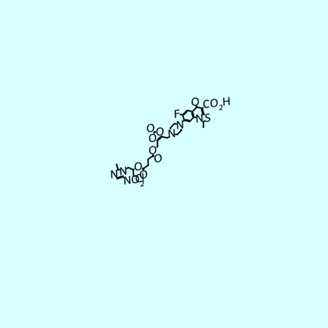 Cc1ncc([N+](=O)[O-])n1CC(CCl)OC(=O)CCC(=O)OCc1oc(=O)oc1CN1CCN(c2cc3c(cc2F)c(=O)c(C(=O)O)c2n3C(C)S2)CC1